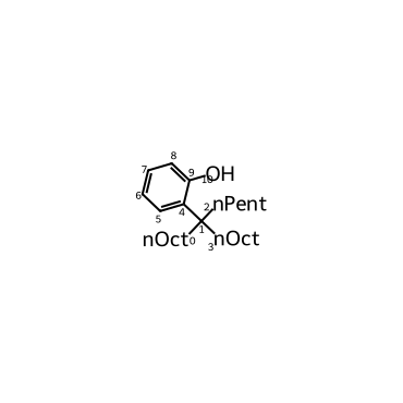 CCCCCCCCC(CCCCC)(CCCCCCCC)c1ccccc1O